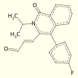 CC(C)n1c(C=CC=O)c(-c2ccc(F)cc2)c2ccccc2c1=O